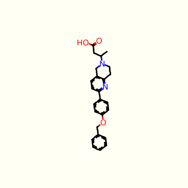 CC(CC(=O)O)N1CCc2nc(-c3ccc(OCc4ccccc4)cc3)ccc2C1